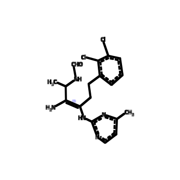 Cc1ccnc(N/C(CCc2cccc(Cl)c2Cl)=C(\N)C(C)NC=O)n1